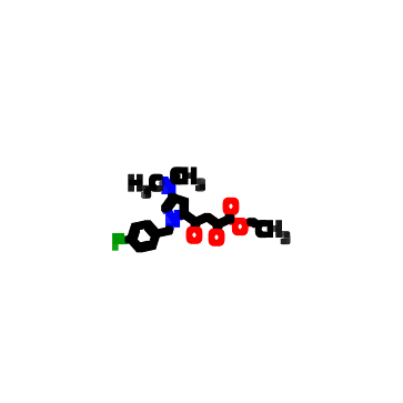 CCOC(=O)C(=O)CC(=O)c1cc(N(C)C)cn1Cc1ccc(F)cc1